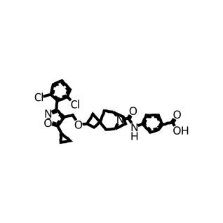 O=C(O)c1ccc(NC(=O)N2C3CCC2CC2(CC(OCc4c(-c5c(Cl)cccc5Cl)noc4C4CC4)C2)C3)cc1